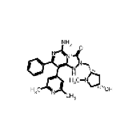 Cc1cc(-c2c(-c3ccccc3)nc(N)[n+]3c(=O)n(C[C@@H]4C[C@H](O)CN4C)[nH]c23)cc(C)n1